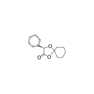 O=C1OC2(CCCCC2)O[C@@H]1c1ccccc1